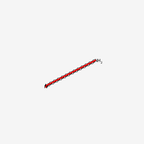 [N-]=[N+]=NCCOCCOCCOCCOCCOCCOCCOCCOCCOCCOCCOCCOCCOCCOCCOCCOCCOCCOCCOCCOCCOCCOCCOCCOCCN